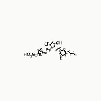 C=CCCc1cc(Cl)cc(/C=C/[C@@H]2[C@@H](CCSc3nc(OC(=O)O)cs3)[C@H](Cl)C[C@H]2O)c1